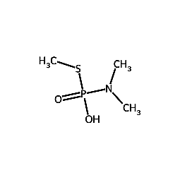 CSP(=O)(O)N(C)C